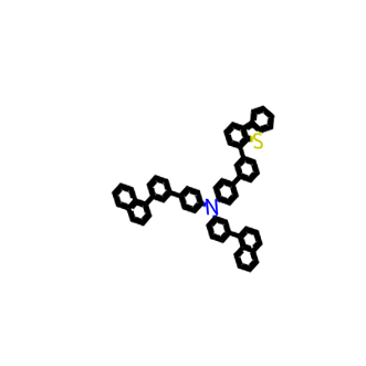 c1cc(-c2ccc(N(c3ccc(-c4cccc(-c5cccc6c5sc5ccccc56)c4)cc3)c3cccc(-c4cccc5ccccc45)c3)cc2)cc(-c2cccc3ccccc23)c1